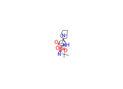 CC(C)(C)OC(=O)N[C@H](C(=O)O)C1CC2CCC(C1)N2c1ccc(C#N)cc1